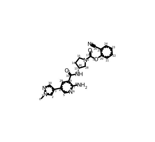 Cn1cc(-c2cnc(N)c(C(=O)N[C@@H]3CCN(C(=O)Oc4ccccc4C#N)C3)c2)cn1